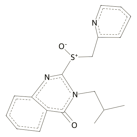 CC(C)Cn1c([S+]([O-])Cc2ccccn2)nc2ccccc2c1=O